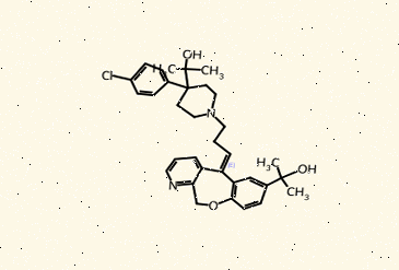 CC(C)(O)c1ccc2c(c1)/C(=C/CCN1CCC(c3ccc(Cl)cc3)(C(C)(C)O)CC1)c1cccnc1CO2